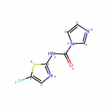 O=C(Nc1ncc(F)s1)n1ccnc1